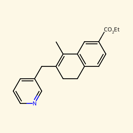 CCOC(=O)c1ccc2c(c1)C(C)=C(Cc1cccnc1)CC2